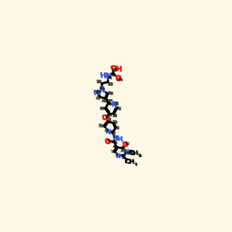 Cc1ncc(C(=O)Nc2ccc(Oc3ccnc(-c4cnn(CCNC(=O)O)c4)c3)cn2)c(=O)n1C